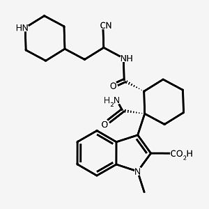 Cn1c(C(=O)O)c([C@]2(C(N)=O)CCCC[C@H]2C(=O)NC(C#N)CC2CCNCC2)c2ccccc21